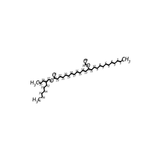 CCCCCCCCCCCCC(CCCCCCCCCCCC(=O)OCC(CCC)CCCCCC)OC=O